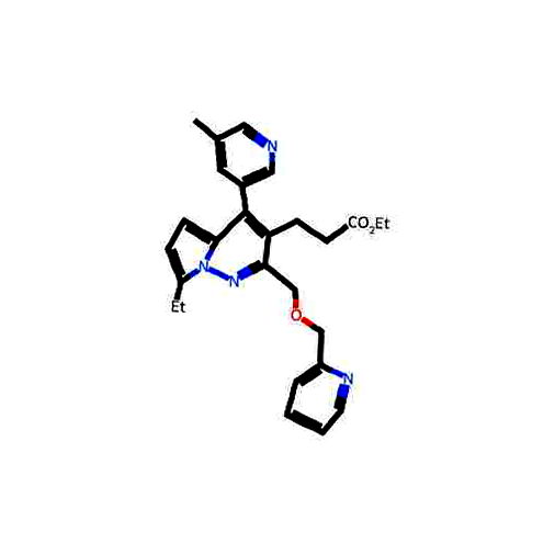 CCOC(=O)CCc1c(COCc2ccccn2)nn2c(CC)ccc2c1-c1cncc(C)c1